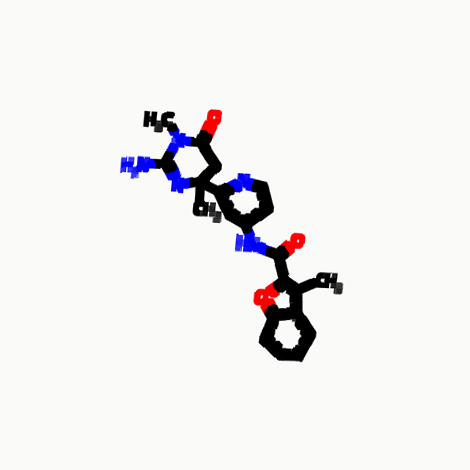 Cc1c(C(=O)Nc2ccnc(C3(C)CC(=O)N(C)C(N)=N3)c2)oc2ccccc12